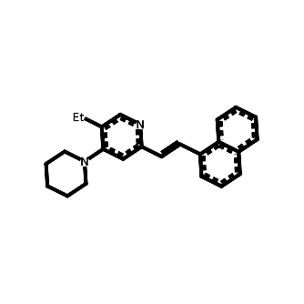 CCc1cnc(/C=C/c2cccc3ccccc23)cc1N1CCCCC1